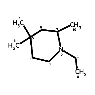 CCN1CCC(C)(C)CC1C